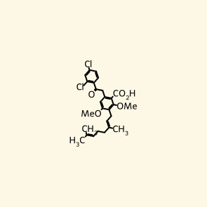 COc1cc(CC(=O)c2ccc(Cl)cc2Cl)c(C(=O)O)c(OC)c1C/C=C(\C)CCC=C(C)C